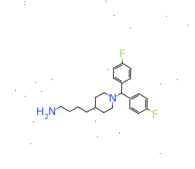 NCCCCC1CCN(C(c2ccc(F)cc2)c2ccc(F)cc2)CC1